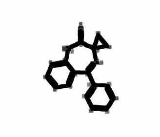 O=C1Nc2ccccc2C(c2ccccc2)=NC12CC2